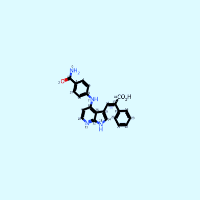 NC(=O)c1ccc(Nc2ccnc3[nH]cc(/C=C(/C(=O)O)c4ccccc4)c23)cc1